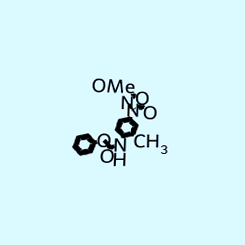 COc1nn(-c2ccc(NC(=O)Oc3ccccc3)c(C)c2)c(=O)o1